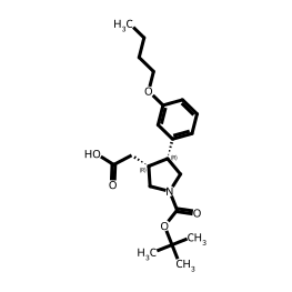 CCCCOc1cccc([C@@H]2CN(C(=O)OC(C)(C)C)C[C@@H]2CC(=O)O)c1